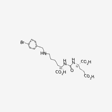 O=C(O)CC[C@H](NC(=O)N[C@@H](CCCCNCc1ccc(Br)cc1)C(=O)O)C(=O)O